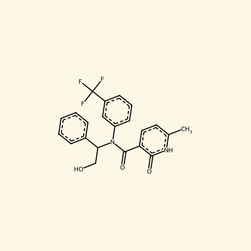 Cc1ccc(C(=O)N(c2cccc(C(F)(F)F)c2)C(CO)c2ccccc2)c(=O)[nH]1